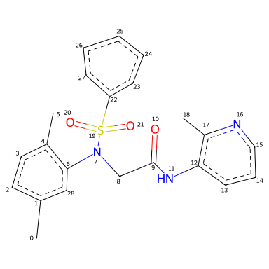 Cc1ccc(C)c(N(CC(=O)Nc2cccnc2C)S(=O)(=O)c2ccccc2)c1